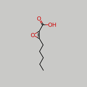 CCCCCC1=C(C(=O)O)O1